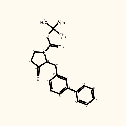 CC(C)(C)OC(=O)N1CCC(=O)C1Cc1cccc(-c2ccccc2)c1